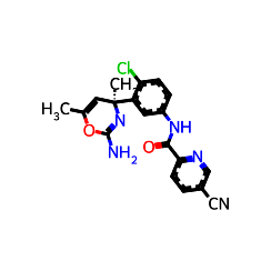 CC1=C[C@@](C)(c2cc(NC(=O)c3ccc(C#N)cn3)ccc2Cl)N=C(N)O1